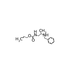 C=CCOC(=O)NCC(C)NCc1ccccc1